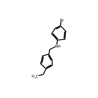 CCc1ccc(CNc2ccc(Br)cc2)cc1